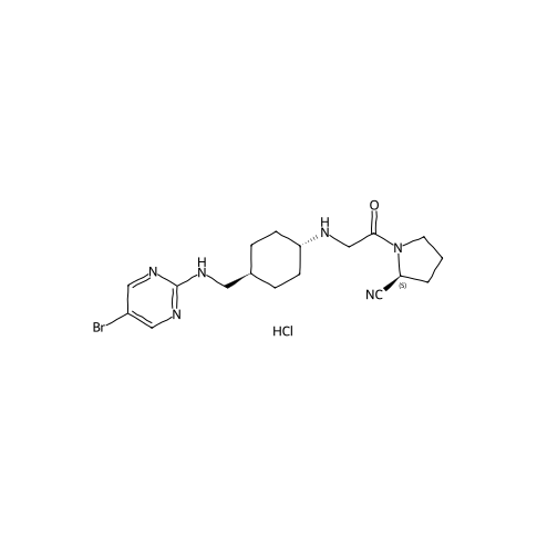 Cl.N#C[C@@H]1CCCN1C(=O)CN[C@H]1CC[C@H](CNc2ncc(Br)cn2)CC1